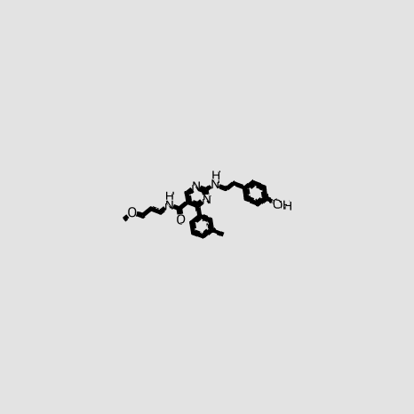 COCCCNC(=O)c1cnc(NCCc2ccc(O)cc2)nc1-c1cccc(C)c1